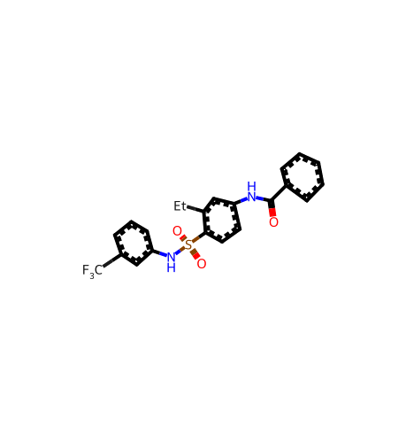 CCc1cc(NC(=O)c2ccccc2)ccc1S(=O)(=O)Nc1cccc(C(F)(F)F)c1